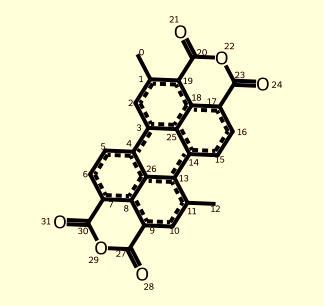 Cc1cc2c3ccc4c5c(cc(C)c(c6ccc7c(c1C(=O)OC7=O)c26)c53)C(=O)OC4=O